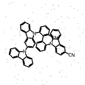 N#Cc1ccc2c(c1)c1ccccc1n2-c1ccccc1-c1c(C#N)cccc1-n1c2ccccc2c2cc(-n3c4ccccc4c4ccccc43)ccc21